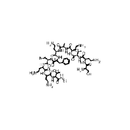 CCNC(=O)C(NC(=O)C(CCN)NC(=O)C(CCN)NC(=O)C(CC(C)C)NC(=O)C(Cc1ccccc1)NC(=O)C(CCN)NC(=O)C(C)NC(=O)C(CCN)NC(=O)C(NC(=O)C(CCN)NC(=O)C(N)CS)C(C)O)C(C)O